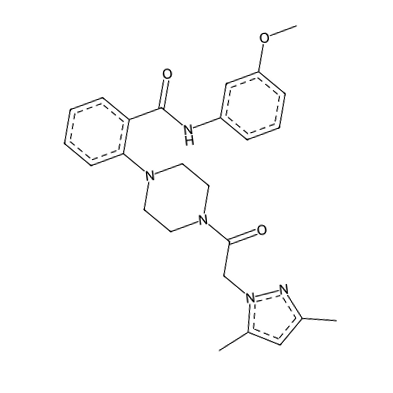 COc1cccc(NC(=O)c2ccccc2N2CCN(C(=O)Cn3nc(C)cc3C)CC2)c1